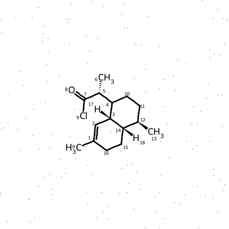 CC1=C[C@@H]2C([C@@H](C)C(=O)Cl)CC[C@@H](C)[C@@H]2CC1